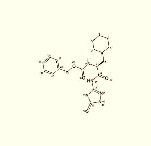 O=C(N[C@@H](CC1CCCCC1)C(=O)Nc1n[nH]c(=S)s1)OCc1ccccc1